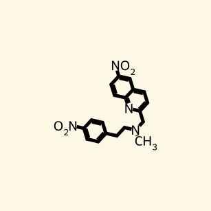 CN(CCc1ccc([N+](=O)[O-])cc1)Cc1ccc2cc([N+](=O)[O-])ccc2n1